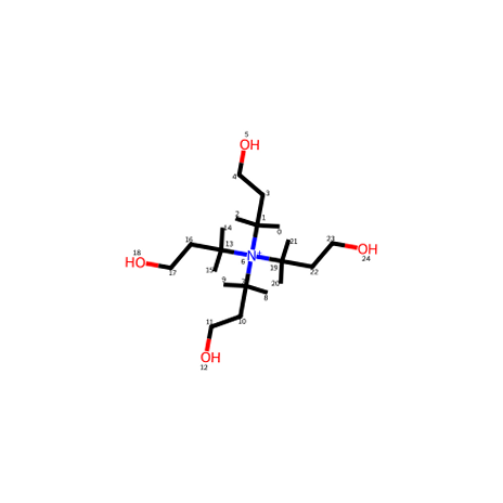 CC(C)(CCO)[N+](C(C)(C)CCO)(C(C)(C)CCO)C(C)(C)CCO